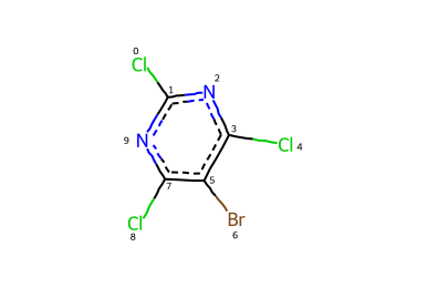 Clc1nc(Cl)c(Br)c(Cl)n1